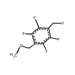 COCc1c(F)c(F)c(C[O])c(F)c1F